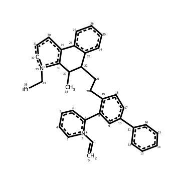 C=C[n+]1ccccc1-c1cc(-c2ccccc2)ccc1CCC1c2ccccc2-c2ccc[n+](CC(C)C)c2C1C